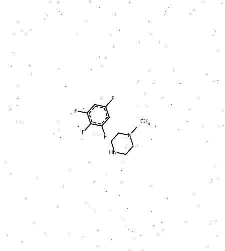 C.CN1CCNCC1.Fc1cc(F)c(F)c(F)c1